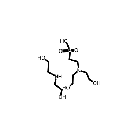 O=S(=O)(O)CCN(CCO)CCO.OCCNCCO